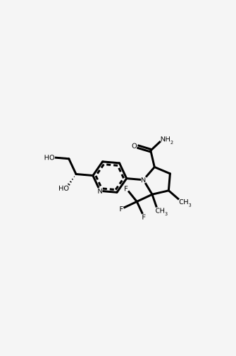 CC1CC(C(N)=O)N(c2ccc([C@H](O)CO)nc2)C1(C)C(F)(F)F